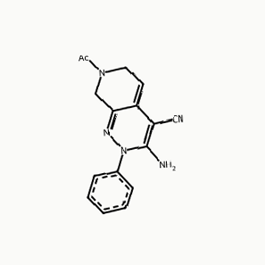 CC(=O)N1CC=C2C(=NN(c3ccccc3)C(N)=C2C#N)C1